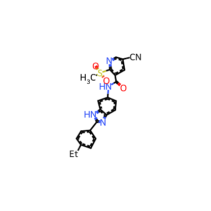 CCc1ccc(-c2nc3ccc(NC(=O)c4cc(C#N)cnc4S(C)(=O)=O)cc3[nH]2)cc1